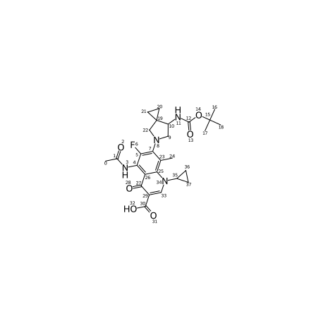 CC(=O)Nc1c(F)c(N2CC(NC(=O)OC(C)(C)C)C3(CC3)C2)c(C)c2c1c(=O)c(C(=O)O)cn2C1CC1